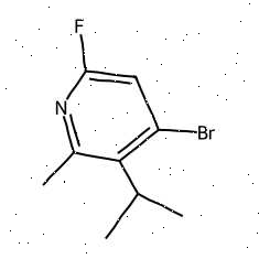 Cc1nc(F)cc(Br)c1C(C)C